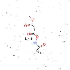 C=CC(=O)NOC(=O)CC(=O)OC.[NaH]